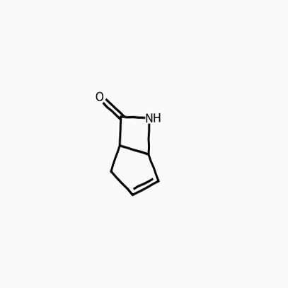 O=C1NC2C=CCC12